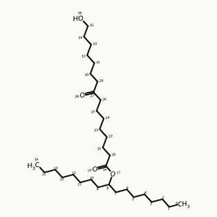 CCCCCCCCC(CCCCCCCC)OC(=O)CCCCCCCC(=O)CCCCCCCO